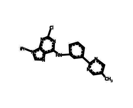 Cc1cnc(-c2cccc(Nc3nc(Cl)nc4c3ncn4C(C)C)c2)nc1